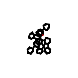 c1ccc(-c2ccc(N(c3cccc(-c4ccccc4)c3)c3cccc4c3C3(c5ccccc5-c5cc6c7ccccc7c7ccccc7c6cc53)c3ccccc3-4)cc2)cc1